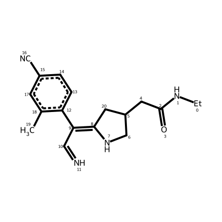 CCNC(=O)CC1CN/C(=C(\C=N)c2ccc(C#N)cc2C)C1